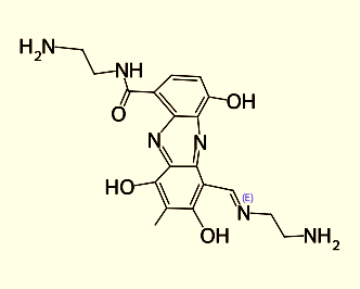 Cc1c(O)c(/C=N/CCN)c2nc3c(O)ccc(C(=O)NCCN)c3nc2c1O